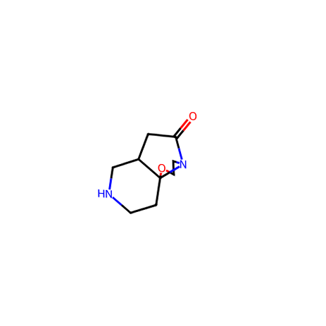 O=C1CC2CNCCC23OCCN13